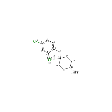 COC1(Cc2ccc(Cl)cc2Cl)CCC(C(C)C)CC1